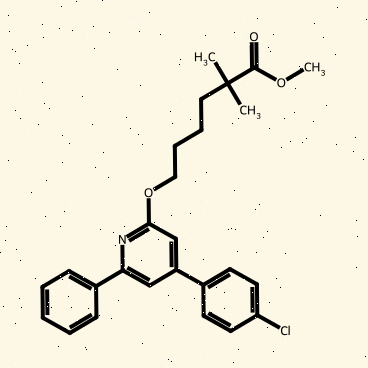 COC(=O)C(C)(C)CCCCOc1cc(-c2ccc(Cl)cc2)cc(-c2ccccc2)n1